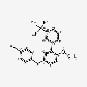 COc1ccc(Cc2ccc(F)cc2)nc1-c1cccc(C(F)(F)F)c1